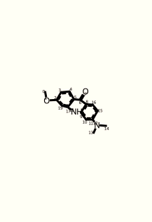 COc1ccc(C(=O)c2ccc(N(C)C)cc2)c(N)c1